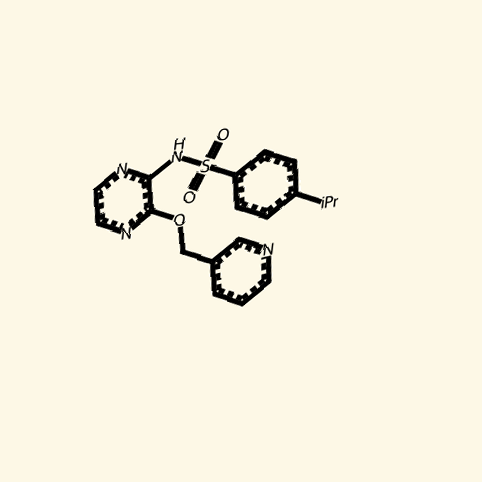 CC(C)c1ccc(S(=O)(=O)Nc2nccnc2OCc2cccnc2)cc1